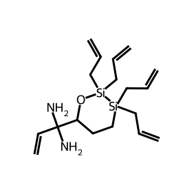 C=CC[Si]1(CC=C)CCC(C(N)(N)C=C)O[Si]1(CC=C)CC=C